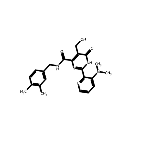 Cc1ccc(CNC(=O)c2nc(-c3ncccc3N(C)C)[nH]c(=O)c2CO)cc1C